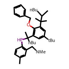 CCCCC(C)C(C)(C)c1cc(C(C)(C)C)cc(C(C)(CCCC)Pc2ccc(C)cc2CNC)c1OCc1ccccc1